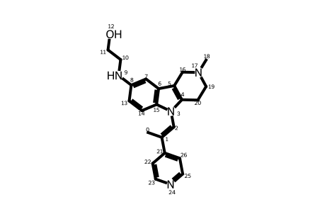 C/C(=C\n1c2c(c3cc(NCCO)ccc31)CN(C)CC2)c1ccncc1